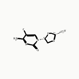 CCOC(=O)[C@H]1O[C@@H](n2cc(F)c(N)nc2=O)CS1